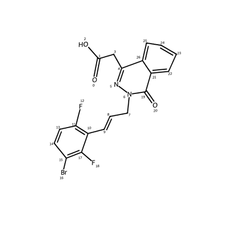 O=C(O)Cc1nn(CC=Cc2c(F)ccc(Br)c2F)c(=O)c2ccccc12